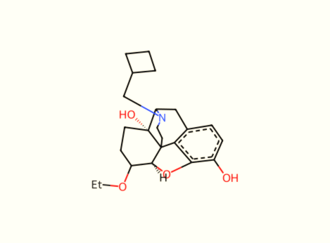 CCOC1CC[C@@]2(O)C3Cc4ccc(O)c5c4C2(CCN3CC2CCC2)[C@H]1O5